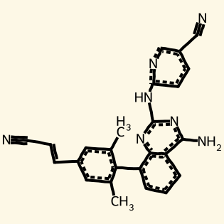 Cc1cc(C=CC#N)cc(C)c1-c1cccc2c(N)nc(Nc3ccc(C#N)cn3)nc12